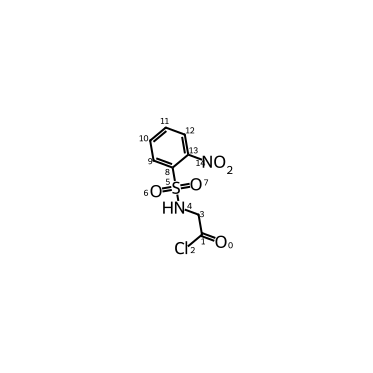 O=C(Cl)CNS(=O)(=O)c1ccccc1[N+](=O)[O-]